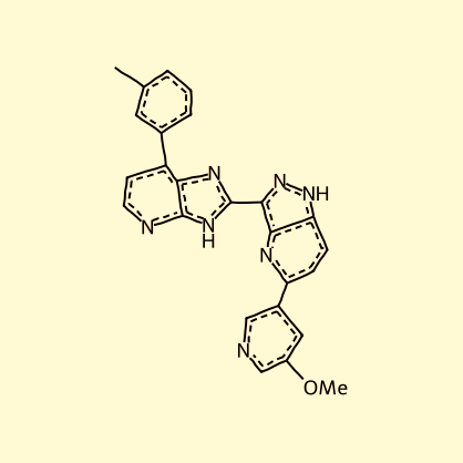 COc1cncc(-c2ccc3[nH]nc(-c4nc5c(-c6cccc(C)c6)ccnc5[nH]4)c3n2)c1